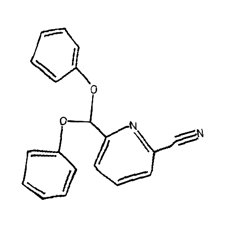 N#Cc1cccc(C(Oc2ccccc2)Oc2ccccc2)n1